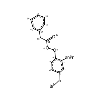 CCCc1cc(CBr)ccc1OOC(=O)Cc1ccccc1